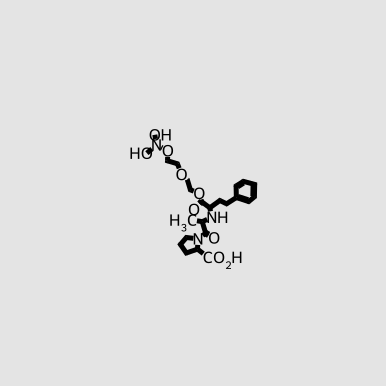 CC(NC(CCc1ccccc1)C(=O)OCCOCCON(O)O)C(=O)N1CCCC1C(=O)O